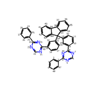 c1ccc(-c2ncnc(-c3cccc(C4(c5cccc(-c6ncnc(-c7ccccc7)n6)c5)c5ccccc5-c5ccccc54)c3)n2)cc1